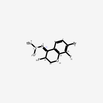 CC(C)(C)[S+]([O-])/N=C1/c2ccc(Br)c(F)c2OCC1F